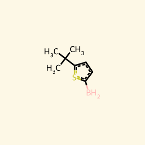 Bc1ccc(C(C)(C)C)s1